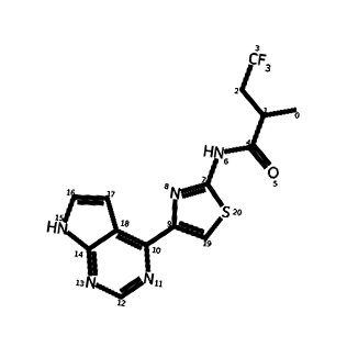 CC(CC(F)(F)F)C(=O)Nc1nc(-c2ncnc3[nH]ccc23)cs1